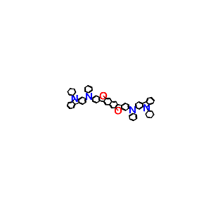 c1ccc(N(c2ccc3c(c2)oc2cc4cc5c(cc4cc23)oc2cc(N(c3ccccc3)c3ccc4c6ccccc6n(C6CCCCC6)c4c3)ccc25)c2ccc3c4ccccc4n(C4CCCCC4)c3c2)cc1